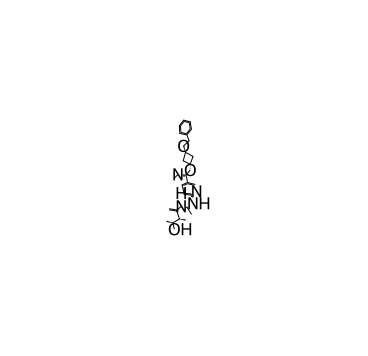 C=C(NC(C)Nc1ccc(/C(=N\C)O[C@H]2C[C@H](OCc3ccccc3)C2)cn1)[C@@H](C)[C@H](C)O